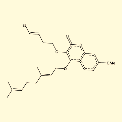 CCC=CCCOc1c(OC/C=C(\C)CCC=C(C)C)c2ccc(OC)cc2oc1=O